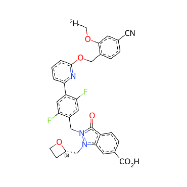 [2H]COc1cc(C#N)ccc1COc1cccc(-c2cc(F)c(Cn3c(=O)c4ccc(C(=O)O)cc4n3C[C@@H]3CCO3)cc2F)n1